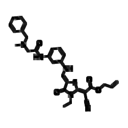 C=CCOC(=O)C(C#N)=c1sc(=CNc2cccc(NC(=O)CN(C)Cc3ccccc3)c2)c(=O)n1CC